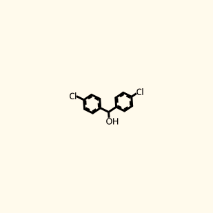 OC(c1ccc(Cl)cc1)c1ccc(Cl)cc1